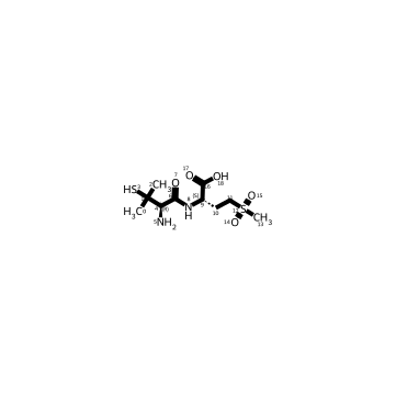 CC(C)(S)[C@H](N)C(=O)N[C@@H](CCS(C)(=O)=O)C(=O)O